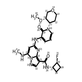 CNc1cc(Nc2cccn([C@H]3CCOC[C@H]3OC)c2=O)nc2c(C(=O)N[C@H]3CC[C@@H]3F)cnn12